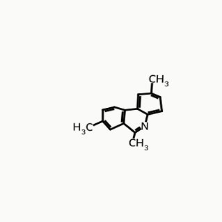 Cc1ccc2c(c1)c(C)nc1ccc(C)cc12